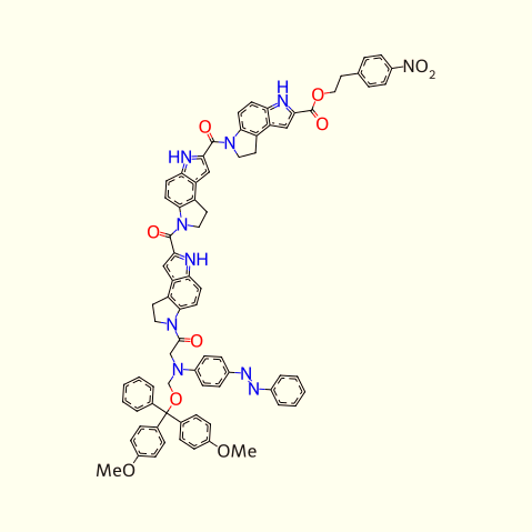 COc1ccc(C(OCN(CC(=O)N2CCc3c2ccc2[nH]c(C(=O)N4CCc5c4ccc4[nH]c(C(=O)N6CCc7c6ccc6[nH]c(C(=O)OCCc8ccc([N+](=O)[O-])cc8)cc76)cc54)cc32)c2ccc(N=Nc3ccccc3)cc2)(c2ccccc2)c2ccc(OC)cc2)cc1